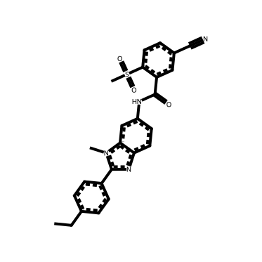 CCc1ccc(-c2nc3ccc(NC(=O)c4cc(C#N)ccc4S(C)(=O)=O)cc3n2C)cc1